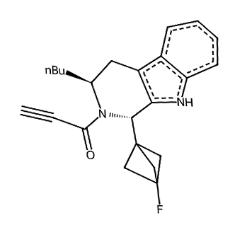 C#CC(=O)N1[C@@H](CCCC)Cc2c([nH]c3ccccc23)[C@@H]1C12CC(F)(C1)C2